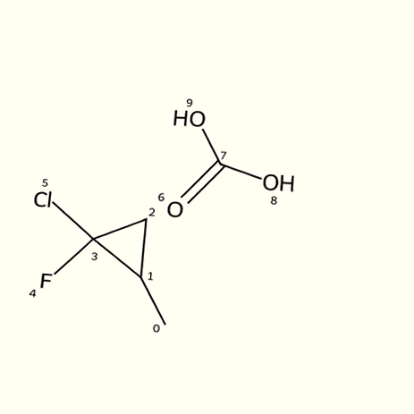 CC1CC1(F)Cl.O=C(O)O